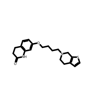 O=C1CCc2ccc(OCCCCN3CCc4ccsc4C3)cc2N1